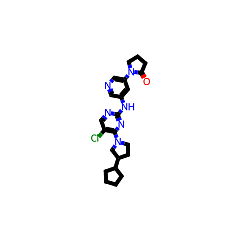 O=C1CCCN1c1cncc(Nc2ncc(Cl)c(N3CCC(C4CCCC4)C3)n2)c1